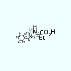 CCC(C(=O)O)C1CN(Cc2ccccc2)CCN1